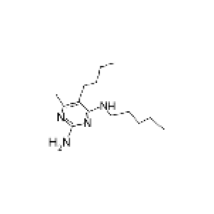 CCCCCNc1nc(N)nc(C)c1CCCC